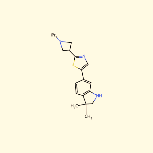 CC(C)N1CC(c2ncc(-c3ccc4c(c3)NCC4(C)C)s2)C1